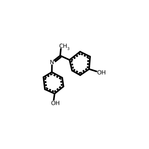 CC(=Nc1ccc(O)cc1)c1ccc(O)cc1